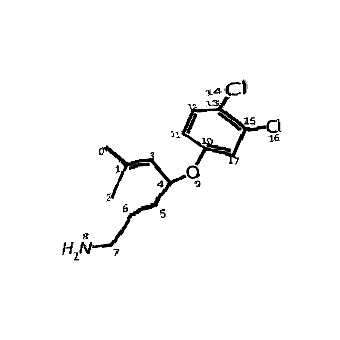 CC(C)=CC(CCCN)Oc1ccc(Cl)c(Cl)c1